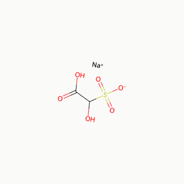 O=C(O)C(O)S(=O)(=O)[O-].[Na+]